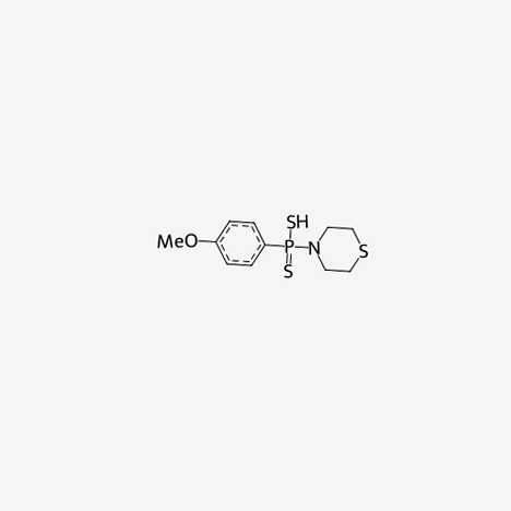 COc1ccc(P(=S)(S)N2CCSCC2)cc1